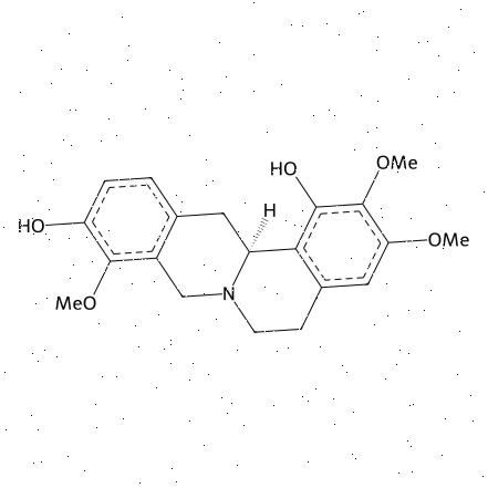 COc1cc2c(c(O)c1OC)[C@@H]1Cc3ccc(O)c(OC)c3CN1CC2